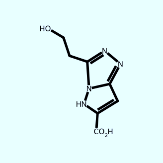 O=C(O)c1cc2nnc(CCO)n2[nH]1